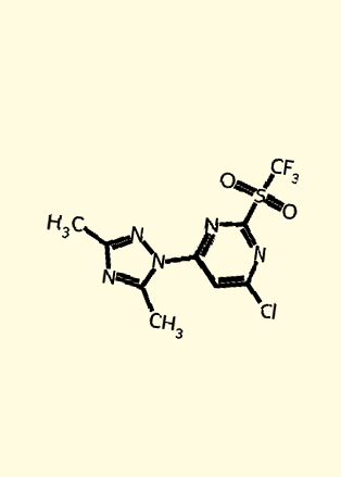 Cc1nc(C)n(-c2cc(Cl)nc(S(=O)(=O)C(F)(F)F)n2)n1